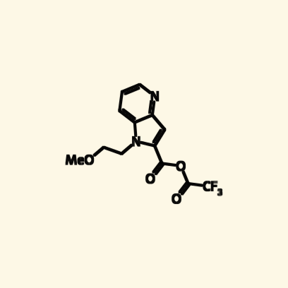 COCCn1c(C(=O)OC(=O)C(F)(F)F)cc2ncccc21